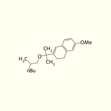 CCCCC(C)COC(C)(C)C1=Cc2ccc(OC)cc2CC1